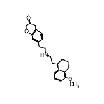 COc1cccc2c1CCCC2CCNCCc1ccc2c(c1)OCC(=O)C2